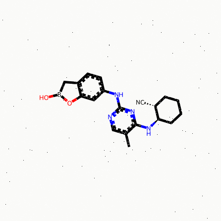 Cc1cnc(Nc2ccc3c(c2)OB(O)C3)nc1N[C@@H]1CCCC[C@H]1C#N